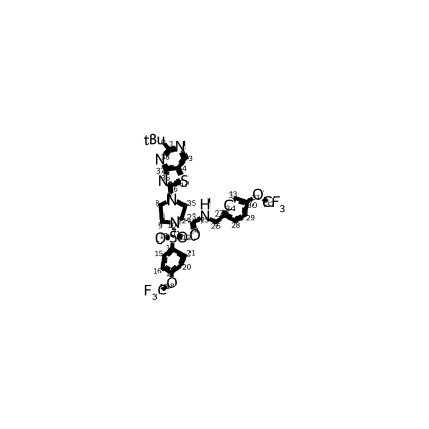 CC(C)(C)c1ncc2sc(N3CCN(S(=O)(=O)c4ccc(OC(F)(F)F)cc4)[C@@H](C(=O)NCc4ccc(OC(F)(F)F)cc4)C3)nc2n1